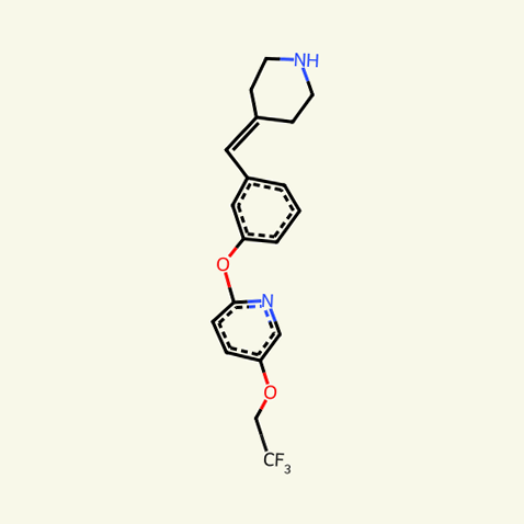 FC(F)(F)COc1ccc(Oc2cccc(C=C3CCNCC3)c2)nc1